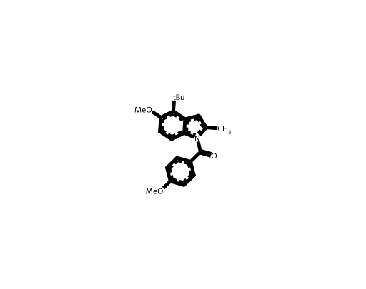 COc1ccc(C(=O)n2c(C)[c]c3c(C(C)(C)C)c(OC)ccc32)cc1